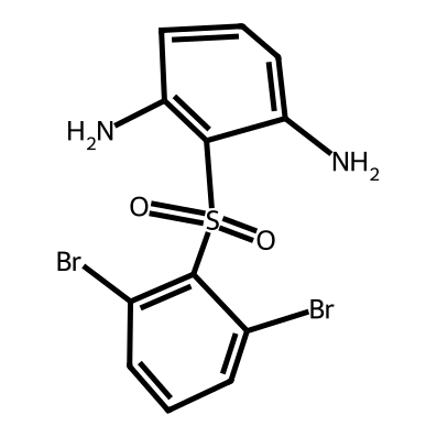 Nc1cccc(N)c1S(=O)(=O)c1c(Br)cccc1Br